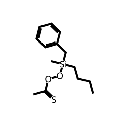 CCCC[Si](C)(Cc1ccccc1)OOC(C)=S